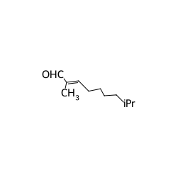 CC(C=O)=CCCCCC(C)C